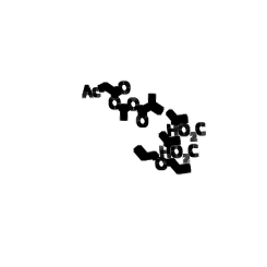 C=C(C)C(=O)O.C=C(C)C(=O)O.C=C(C)C(=O)OC(C)OC(=O)CC(C)=O.C=CCOCC=C